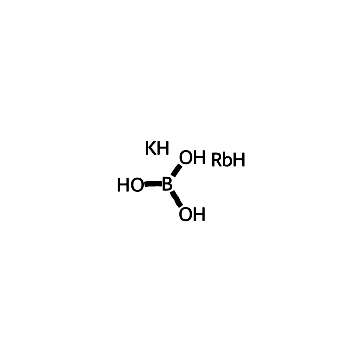 OB(O)O.[KH].[RbH]